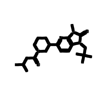 CC(C)CC(=O)N1CCCC(c2ccc3c(n2)n(C)c(=O)n3CC(C)(C)C)C1